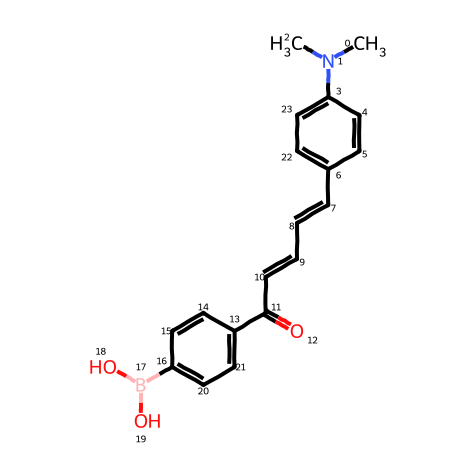 CN(C)c1ccc(/C=C/C=C/C(=O)c2ccc(B(O)O)cc2)cc1